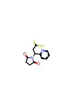 O=C1CCC(=O)N1C(CC(=S)S)c1[c]cccn1